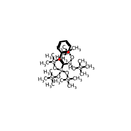 C[Si](C)(C)O[SiH](O[Si](C)(C)C)C(=Cc1ccccc1)[Si](O[Si](C)(C)C)(O[Si](C)(C)C)O[Si](C)(C)C